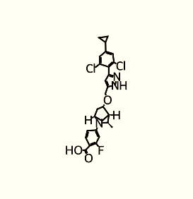 C[C@@H]1[C@@H]2C[C@@H](C[C@H]2OCc2cc(-c3c(Cl)cc(C4CC4)cc3Cl)n[nH]2)N1c1ccc(C(=O)O)c(F)c1